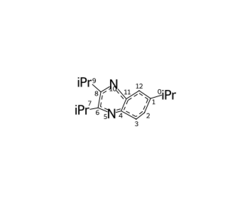 CC(C)c1ccc2nc(C(C)C)c(C(C)C)nc2c1